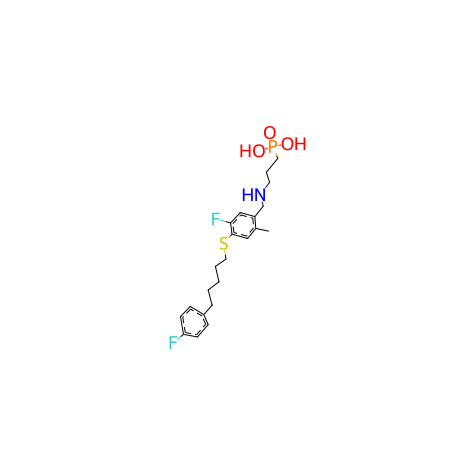 Cc1cc(SCCCCCc2ccc(F)cc2)c(F)cc1CNCCCP(=O)(O)O